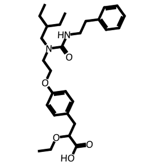 CCOC(Cc1ccc(OCCN(CC(CC)CC)C(=O)NCCc2ccccc2)cc1)C(=O)O